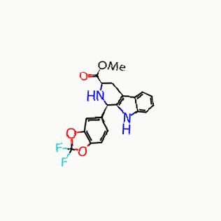 COC(=O)[C@H]1Cc2c([nH]c3ccccc23)[C@@H](c2ccc3c(c2)OC(F)(F)O3)N1